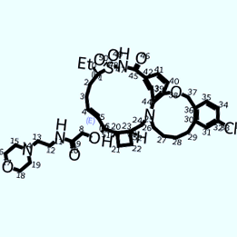 CC[C@@H]1CC/C=C/[C@H](OCC(=O)NCCN2CCOCC2)[C@@H]2CC[C@H]2CN2CCCCc3cc(Cl)ccc3COc3ccc(cc32)C(=O)NS1(=O)=O